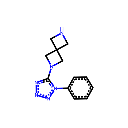 c1ccc(-n2nnnc2N2CC3(CNC3)C2)cc1